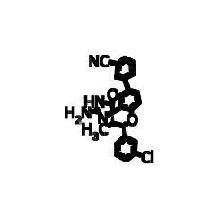 CC1[C@H](c2cccc(Cl)c2)Oc2ccc(-c3cccc(C#N)c3)cc2[C@]12N=C(N)NC2=O